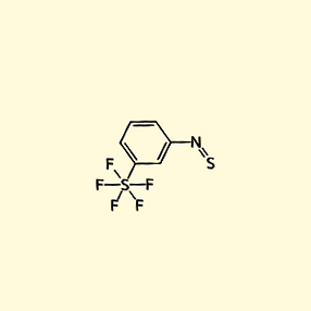 FS(F)(F)(F)(F)c1cccc(N=S)c1